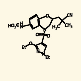 CCOc1nn(CC)cc1S(=O)(=O)N1CC(CC(C)(C)C#N)Oc2ccc(NC(=O)O)cc21